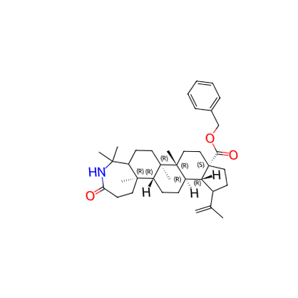 C=C(C)C1CC[C@]2(C(=O)OCc3ccccc3)CC[C@]3(C)[C@H](CC[C@@H]4[C@@]5(C)CCC(=O)NC(C)(C)C5CC[C@]43C)[C@@H]12